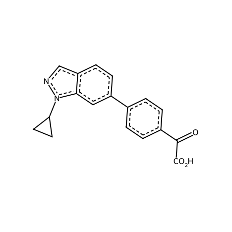 O=C(O)C(=O)c1ccc(-c2ccc3cnn(C4CC4)c3c2)cc1